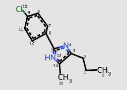 CCCc1nc(-c2ccc(Cl)cc2)[nH]c1C